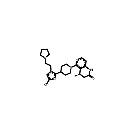 C[C@@H]1CC(=O)Nc2ncnc(N3CCC(c4nc(Cl)cn4CCN4CCCC4)CC3)c21